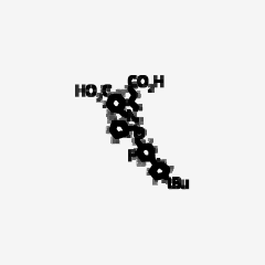 CC(C)(C)c1ccc(-c2ccc(CO[C@@H](CN(CCCCC(=O)O)Cc3ccc(C(=O)O)cc3)c3ccccc3)c(F)c2)cc1